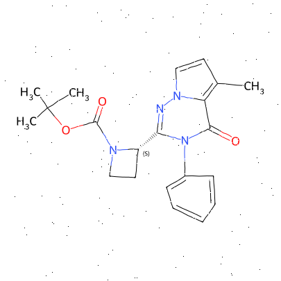 Cc1ccn2nc([C@@H]3CCN3C(=O)OC(C)(C)C)n(-c3ccccc3)c(=O)c12